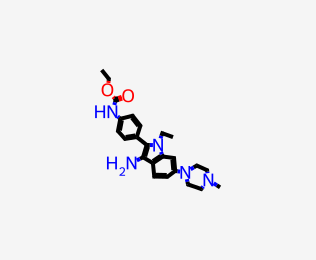 CCOC(=O)Nc1ccc(-c2c(N)c3ccc(N4CCN(C)CC4)cc3n2CC)cc1